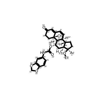 CCO[C@]1(C(C)=O)CC[C@H]2[C@@H]3C=CC4=CC(=O)CC[C@@]4(C)[C@@H]3[C@@H](OC(=O)Nc3ccc4c(c3)OCO4)C[C@@]21C